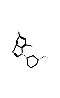 N[C@@H]1CCC[C@H](n2cnc3cc(F)cc(Cl)c32)C1